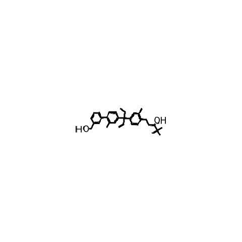 CCC(CC)(c1ccc(CCC(O)C(C)(C)C)c(C)c1)c1ccc(-c2cccc(CO)c2)c(C)c1